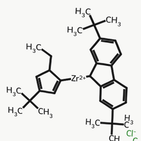 CCC1C=C(C(C)(C)C)C=[C]1[Zr+2][CH]1c2cc(C(C)(C)C)ccc2-c2ccc(C(C)(C)C)cc21.[Cl-].[Cl-]